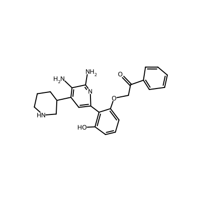 Nc1nc(-c2c(O)cccc2OCC(=O)c2ccccc2)cc(C2CCCNC2)c1N